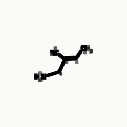 C/C=C(\C#N)CN